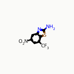 Nc1nc2cc([N+](=O)[O-])cc(C(F)(F)F)c2s1